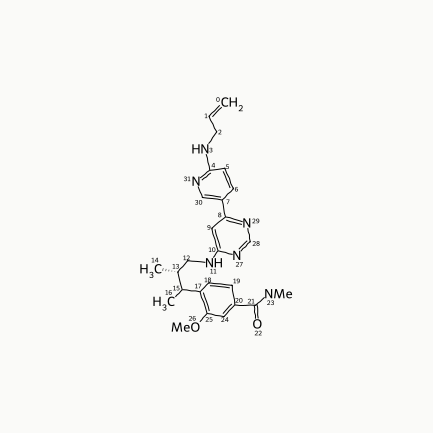 C=CCNc1ccc(-c2cc(NC[C@@H](C)C(C)c3ccc(C(=O)NC)cc3OC)ncn2)cn1